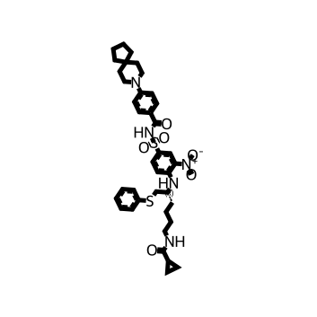 O=C(NS(=O)(=O)c1ccc(N[C@H](CCCCNC(=O)C2CC2)CSc2ccccc2)c([N+](=O)[O-])c1)c1ccc(N2CCC3(CCCC3)CC2)cc1